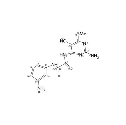 CSc1nc(N)nc(NC(=O)[C@H](C)Nc2cccc(N)c2)c1C#N